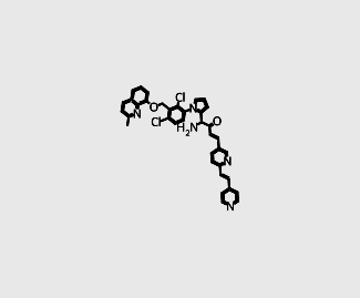 Cc1ccc2cccc(OCc3c(Cl)ccc(-n4cccc4C(N)C(=O)/C=C/c4ccc(/C=C/c5ccncc5)nc4)c3Cl)c2n1